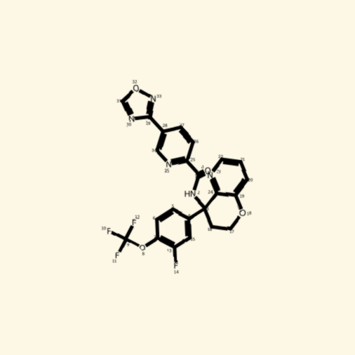 O=C(NC1(c2ccc(OC(F)(F)F)c(F)c2)CCOc2cccnc21)c1ccc(-c2ncon2)cn1